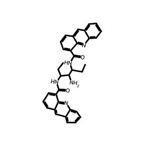 CCC(NC(=O)c1cccc2cc3ccccc3nc12)C(N)C(CC)NC(=O)c1cccc2cc3ccccc3nc12